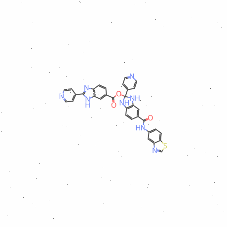 O=C(Nc1ccc2scnc2c1)c1ccc2c(c1)NC(OC(=O)c1ccc3nc(-c4ccncc4)[nH]c3c1)(c1ccncc1)N2